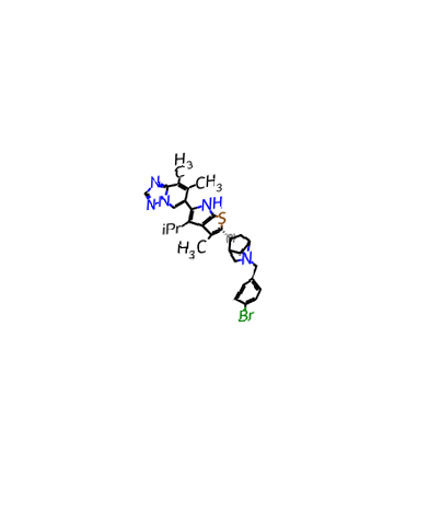 Cc1c(-c2[nH]c3sc([C@@H]4CC5CC4CN5Cc4ccc(Br)cc4)c(C)c3c2C(C)C)cn2ncnc2c1C